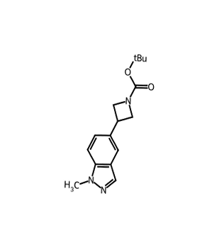 Cn1ncc2cc(C3CN(C(=O)OC(C)(C)C)C3)ccc21